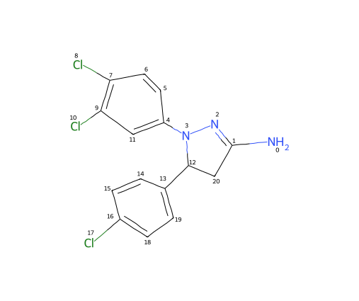 NC1=NN(c2ccc(Cl)c(Cl)c2)C(c2ccc(Cl)cc2)C1